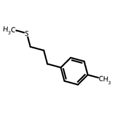 CSCCCc1ccc(C)cc1